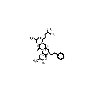 CC(C)CCCN1C[C@H]2CN(CCc3ccccc3)C(=O)[C@H](CC(C)C)N2C(=O)[C@@H]1CC(C)C